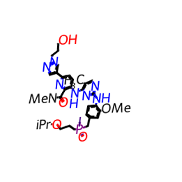 CNC(=O)c1nc(-c2cnn(CCCO)c2)ccc1Nc1nc(Nc2ccc(CP(=O)(I)CCCOC(C)C)cc2OC)ncc1C(F)(F)F